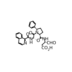 C[C@H](NC(=O)c1nccc2ccccc12)C(=O)N1[C@@H](c2ccccc2)CC[C@H]1C(=O)N[C@H](C=O)CC(=O)O